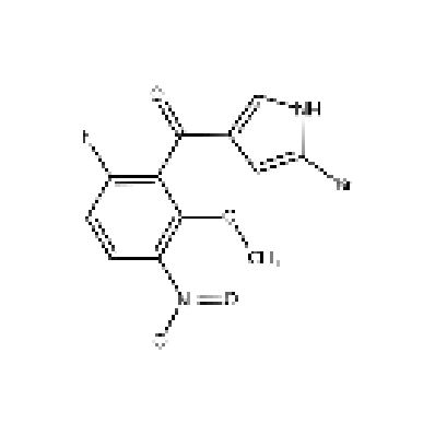 COc1c([N+](=O)[O-])ccc(F)c1C(=O)c1c[nH]c(Br)c1